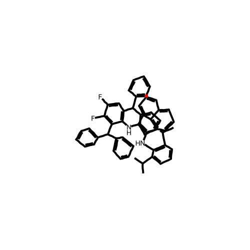 CC(C)c1cccc(C(C)C)c1NC1=C(Nc2c(C(c3ccccc3)c3ccccc3)cc(F)c(F)c2C(c2ccccc2)c2ccccc2)c2cccc3cccc1c23